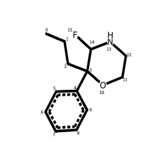 CCCC1(c2ccccc2)OCCNC1F